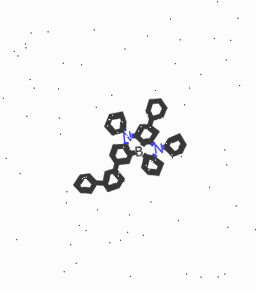 c1ccc(-c2cccc(-c3ccc4c(c3)B3c5ccccc5N(c5ccccc5)c5cc(C6CCCCC6)cc(c53)N4c3ccccc3)c2)cc1